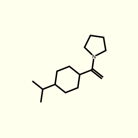 C=C(C1CCC(C(C)C)CC1)N1CCCC1